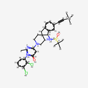 Cc1nc(N2CCC3(CC2)Cc2ccc(C#C[Si](C)(C)C)cc2[C@H]3N[S+]([O-])C(C)(C)C)cc(=O)n1-c1cccc(Cl)c1Cl